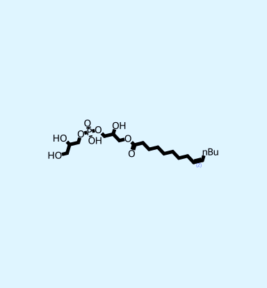 CCCC/C=C\CCCCCCCC(=O)OCC(O)COP(=O)(O)OCC(O)CO